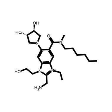 CCCCCCN(C)C(=O)c1cc2c(cc1N1C[C@H](O)[C@@H](O)C1)n(CCO)c(CN)[n+]2CC